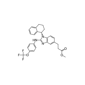 COC(=O)CCc1ccc2c(c1)nc(Nc1ccc(OC(F)(F)F)cc1)n2[C@@H]1CCCc2ccccc21